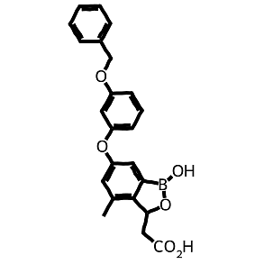 Cc1cc(Oc2cccc(OCc3ccccc3)c2)cc2c1C(CC(=O)O)OB2O